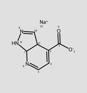 O=C([O-])C1=CC=NC2NN=CC12.[Na+]